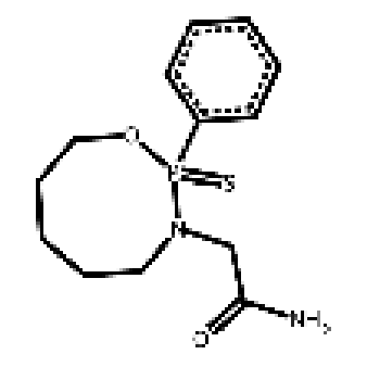 NC(=O)CN1CCCCCOP1(=S)c1ccccc1